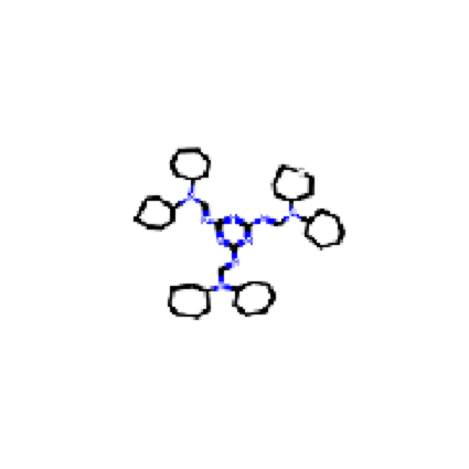 C(=Nc1nc(N=CN(C2CCCCCC2)C2CCCCCC2)nc(N=CN(C2CCCCCC2)C2CCCCCC2)n1)N(C1CCCCCC1)C1CCCCCC1